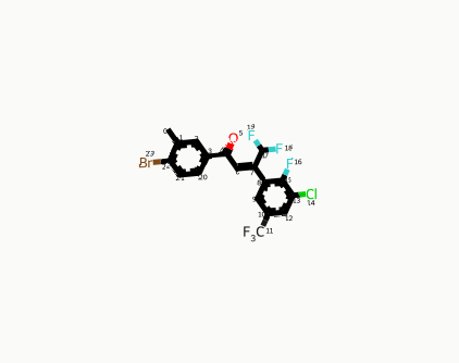 Cc1cc(C(=O)/C=C(/c2cc(C(F)(F)F)cc(Cl)c2F)C(F)F)ccc1Br